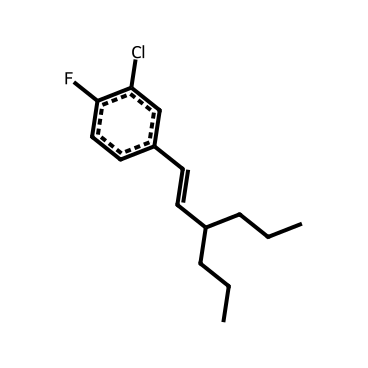 CCCC(/C=C/c1ccc(F)c(Cl)c1)CCC